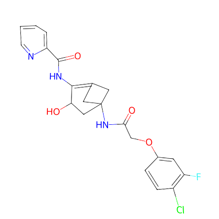 O=C(COc1ccc(Cl)c(F)c1)NC12CC(=C(NC(=O)c3ccccn3)C(O)C1)C2